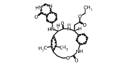 CCOC(=O)C[C@H]1NC(=O)[C@H](Nc2ccc3nc[nH]c(=O)c3c2)c2cc(C)c(c(C)c2)CCOC(=O)Nc2cccc1c2